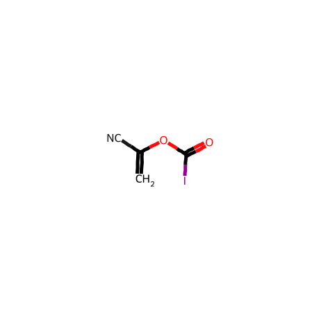 C=C(C#N)OC(=O)I